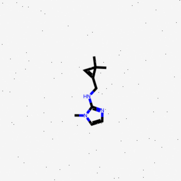 Cn1ccnc1NCC1=CC1(C)C